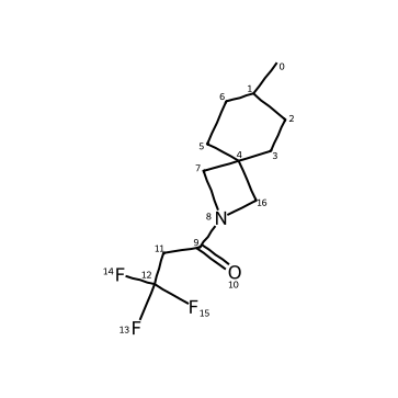 CC1CCC2(CC1)CN(C(=O)CC(F)(F)F)C2